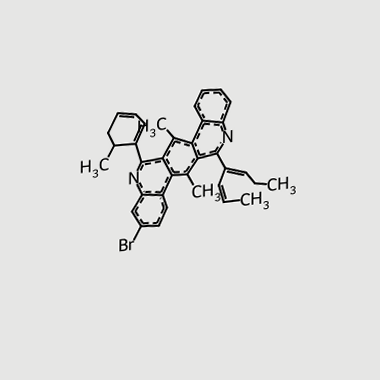 C/C=C\C(=C/CC)c1nc2ccccc2c2c(C)c3c(C4=CC=CCC4C)nc4cc(Br)ccc4c3c(C)c12